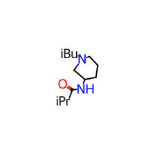 CCC(C)N1CCCC(NC(=O)C(C)C)C1